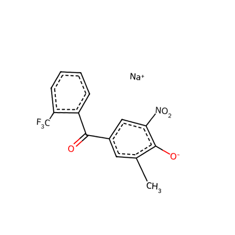 Cc1cc(C(=O)c2ccccc2C(F)(F)F)cc([N+](=O)[O-])c1[O-].[Na+]